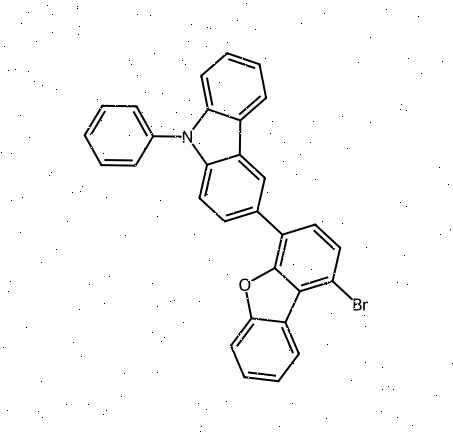 Brc1ccc(-c2ccc3c(c2)c2ccccc2n3-c2ccccc2)c2oc3ccccc3c12